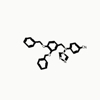 N#Cc1ccc(N(Cc2ccc(OCc3ccccc3)c(OCc3ccccc3)c2)n2cnnc2)cc1